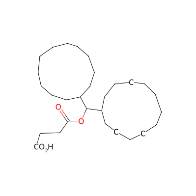 O=C(O)CCC(=O)OC(C1CCCCCCCCCCC1)C1CCCCCCCCCCC1